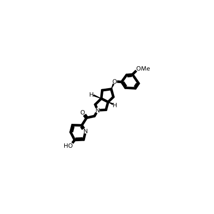 COc1cccc(O[C@H]2C[C@@H]3CN(CC(=O)c4ccc(O)cn4)C[C@@H]3C2)c1